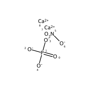 O=P([O-])([O-])[O-].O=[N+]([O-])[O-].[Ca+2].[Ca+2]